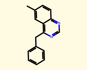 Cc1ccc2ncnc(Cc3ccccc3)c2c1